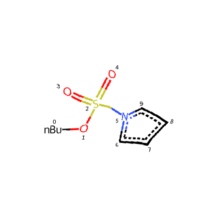 CCCCOS(=O)(=O)n1cccc1